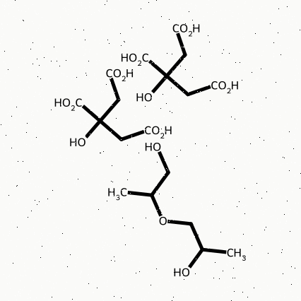 CC(O)COC(C)CO.O=C(O)CC(O)(CC(=O)O)C(=O)O.O=C(O)CC(O)(CC(=O)O)C(=O)O